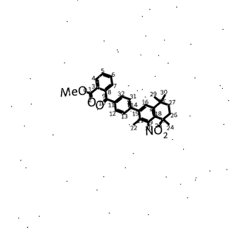 COC(=O)c1ccccc1C(=O)c1ccc(-c2cc3c(c([N+](=O)[O-])c2C)C(C)(C)CCC3(C)C)cc1